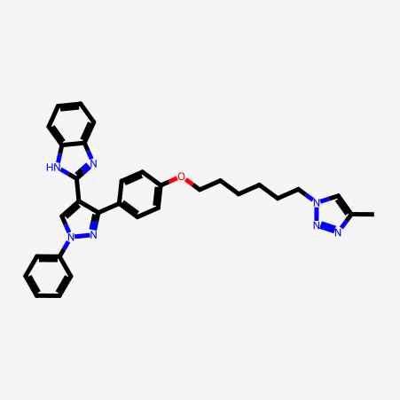 Cc1cn(CCCCCCOc2ccc(-c3nn(-c4ccccc4)cc3-c3nc4ccccc4[nH]3)cc2)nn1